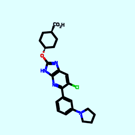 O=C(O)[C@H]1CC[C@H](Oc2nc3cc(Cl)c(-c4cccc(N5CCCC5)c4)nc3[nH]2)CC1